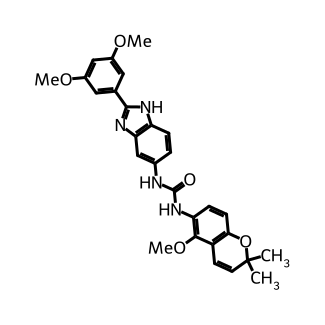 COc1cc(OC)cc(-c2nc3cc(NC(=O)Nc4ccc5c(c4OC)C=CC(C)(C)O5)ccc3[nH]2)c1